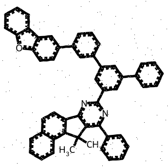 CC1(C)c2c(-c3ccccc3)nc(-c3cc(-c4ccccc4)cc(-c4cccc(-c5ccc6oc7ccccc7c6c5)c4)c3)nc2-c2ccc3ccccc3c21